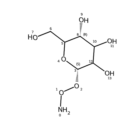 NOO[C@@H]1OC(CO)[C@H](O)C(O)C1O